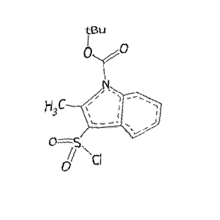 Cc1c(S(=O)(=O)Cl)c2ccccc2n1C(=O)OC(C)(C)C